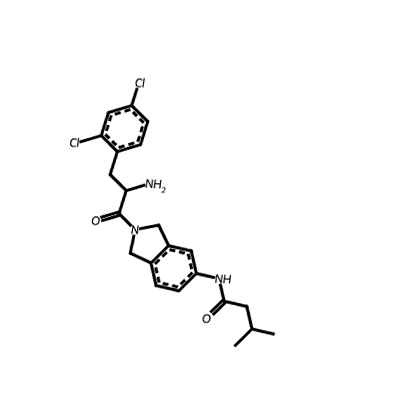 CC(C)CC(=O)Nc1ccc2c(c1)CN(C(=O)C(N)Cc1ccc(Cl)cc1Cl)C2